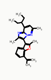 C=C(C)c1cccc2c(-c3c(C)nc4c(C(CC)CC)cc(C)nn34)c(C)oc12